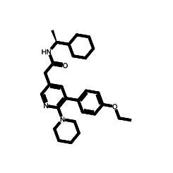 CCOc1ccc(-c2cc(CC(=O)N[C@@H](C)C3CCCCC3)cnc2N2CCCCC2)cc1